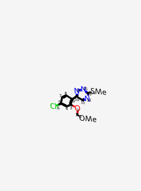 COCOc1cc(Cl)ccc1-c1cnc(SC)nn1